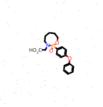 O=C(O)CN1CCCCCOP1(=O)c1ccc(Oc2ccccc2)cc1